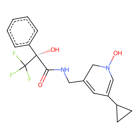 O=C(NCC1=CC(C2CC2)=CN(O)C1)[C@](O)(c1ccccc1)C(F)(F)F